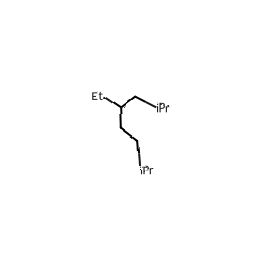 CC[C](CCC(C)C)CC(C)C